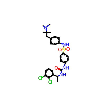 CC(NC(=O)Nc1ccc(S(=O)(=O)Nc2ccc(CC(C)(C)N(C)C)cc2)cc1)c1cccc(Cl)c1Cl